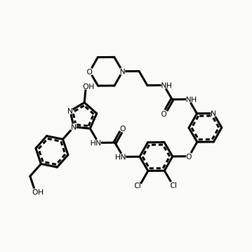 O=C(NCCN1CCOCC1)Nc1cc(Oc2ccc(NC(=O)Nc3cc(O)nn3-c3ccc(CO)cc3)c(Cl)c2Cl)ccn1